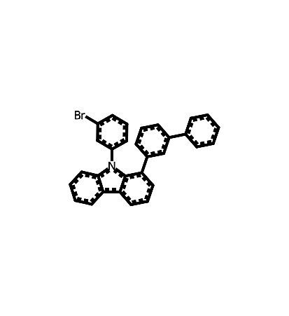 Brc1cccc(-n2c3ccccc3c3cccc(-c4cccc(-c5ccccc5)c4)c32)c1